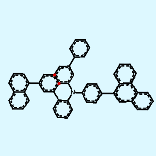 c1ccc(-c2cccc(N(c3ccc(-c4cc5ccccc5c5ccccc45)cc3)c3ccccc3-c3cccc(-c4cccc5ccccc45)c3)c2)cc1